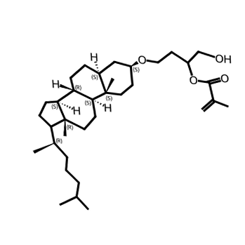 C=C(C)C(=O)OC(CO)CCO[C@H]1CC[C@@]2(C)[C@@H](CC[C@@H]3[C@@H]2CC[C@]2(C)C([C@H](C)CCCC(C)C)CC[C@@H]32)C1